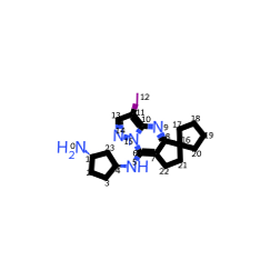 N[C@H]1CC[C@H](Nc2c3c(nc4c(I)cnn24)C2(CCCC2)CC3)C1